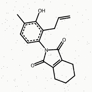 C=CCc1c(N2C(=O)C3=C(CCCC3)C2=O)ccc(C)c1O